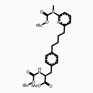 COC(=O)C(Cc1ccc(CCCCc2cccc(N(C)C(=O)OC(C)(C)C)n2)cc1)NC(=O)OC(C)(C)C